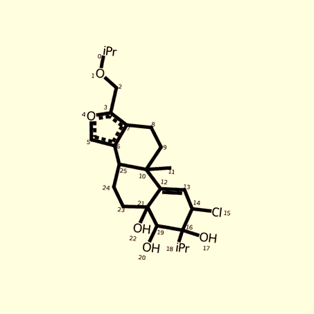 CC(C)OCc1occ2c1CCC1(C)C3=CC(Cl)C(O)(C(C)C)C(O)C3(O)CCC21